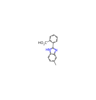 Cc1ccc2[nH]c(-c3ccccc3C(=O)O)nc2c1